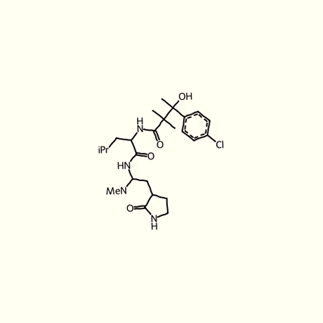 CNC(CC1CCNC1=O)NC(=O)C(CC(C)C)NC(=O)C(C)(C)C(C)(O)c1ccc(Cl)cc1